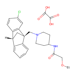 CCOCC(=O)NC1CCN(C[C@]23C[C@H](c4ccccc42)c2ccc(Cl)cc23)CC1.O=C(O)C(=O)O